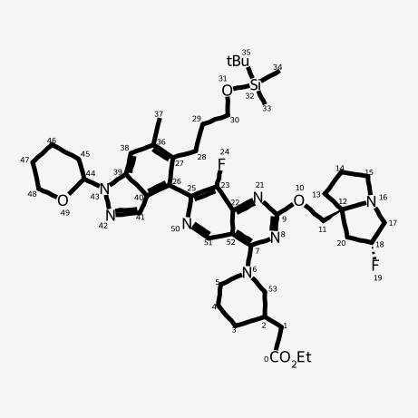 CCOC(=O)CC1CCCN(c2nc(OC[C@@]34CCCN3C[C@H](F)C4)nc3c(F)c(-c4c(CCCO[Si](C)(C)C(C)(C)C)c(C)cc5c4cnn5C4CCCCO4)ncc23)C1